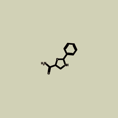 NC(=O)C1CNC(c2ccccc2)O1